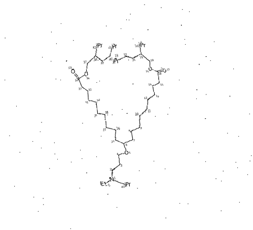 CCN(CCCOC(CCCCCCCCCC(=O)OCC(CCC(C)C)C(C)C)CCCCCCCCCC(=O)OCC(CCC(C)C)C(C)C)C(C)C